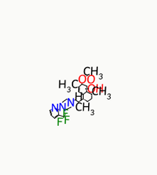 CC(=O)O[C@@H]1[C][C@@]2(O)[C@H](C)CC[C@@H]([C@H](C)CN3CCN(c4ncccc4C(F)(F)F)CC3)[C@H]2C=C1C